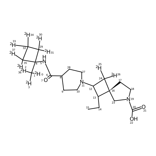 [2H]C([2H])([2H])C1(NC(=O)C2CCN(C3C(CC)[C@]4(CCN(C(=O)O)C4)C3([2H])[2H])CC2)C([2H])([2H])C([2H])([2H])C1([2H])[2H]